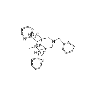 CN1C(c2ccccn2)C2(C(=O)O)CN(Cc3ccccn3)CC(C(=O)O)(C2=O)C1c1ccccn1